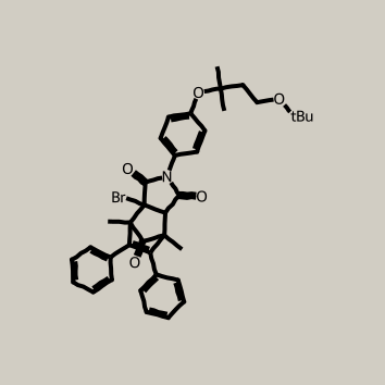 CC(C)(C)OCCC(C)(C)Oc1ccc(N2C(=O)C3C4(C)C(=O)C(C)(C(c5ccccc5)=C4c4ccccc4)C3(Br)C2=O)cc1